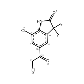 CC1(C)C(=O)Nc2c(Cl)cc(C(=O)CCl)cc21